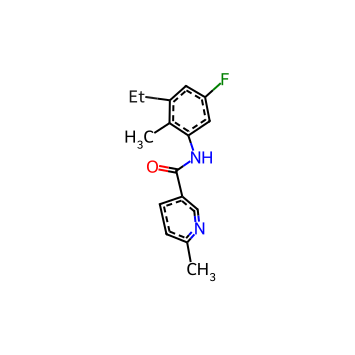 CCc1cc(F)cc(NC(=O)c2ccc(C)nc2)c1C